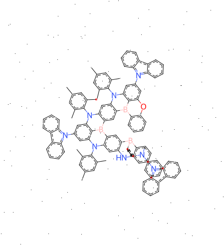 Cc1cc(C)c(N2c3cc4c(cc3B3c5ccccc5Oc5cc(-n6c7ccccc7c7ccccc76)cc2c53)B2c3cc5c(cc3N(c3c(C)cc(C)cc3C)c3cc(-n6c7ccccc7c7ccccc76)cc(c32)N4c2c(C)cc(C)cc2C)Nc2cc(-n3c4ccccc4c4ccccc43)cc3c2B5c2ccccc2N3c2ccccc2)c(C)c1